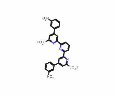 O=C(O)c1cc(-c2cccc([N+](=O)[O-])c2)cc(-c2cccc(-c3cc(-c4cccc([N+](=O)[O-])c4)cc(C(=O)O)n3)n2)n1